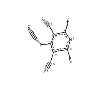 N#CCc1c(C#N)c(F)nc(F)c1C#N